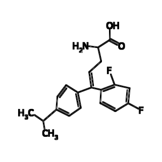 CC(C)c1ccc(/C(=C/CC(N)C(=O)O)c2ccc(F)cc2F)cc1